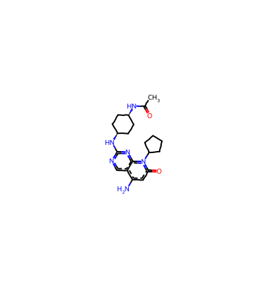 CC(=O)N[C@H]1CC[C@@H](Nc2ncc3c(N)cc(=O)n(C4CCCC4)c3n2)CC1